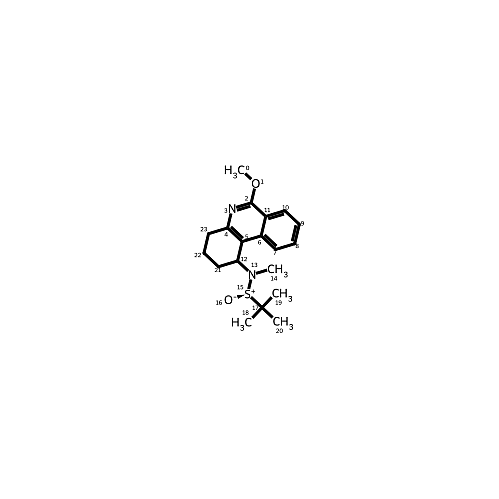 COc1nc2c(c3ccccc13)C(N(C)[S@+]([O-])C(C)(C)C)CCC2